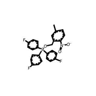 Cc1ccc([N+](=O)[O-])c(CO[Si](c2ccc(F)cc2)(c2ccc(F)cc2)c2ccc(F)cc2)c1